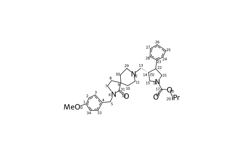 COc1ccc(CN2CCC3(CCN(C[C@H]4CN(C(=O)OC(C)C)CC4c4ccccc4)CC3)C2=O)cc1